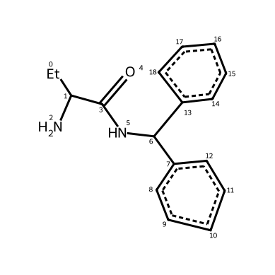 CCC(N)C(=O)NC(c1ccccc1)c1ccccc1